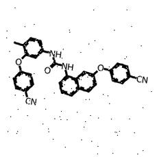 Cc1ccc(NC(=O)Nc2cccc3ccc(Oc4ccc(C#N)cc4)cc23)cc1Oc1ccc(C#N)cc1